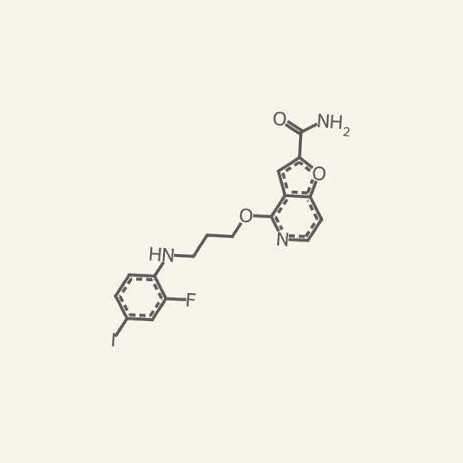 NC(=O)c1cc2c(OCCCNc3ccc(I)cc3F)nccc2o1